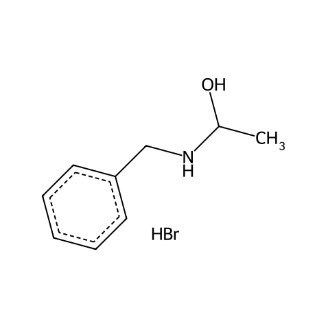 Br.CC(O)NCc1ccccc1